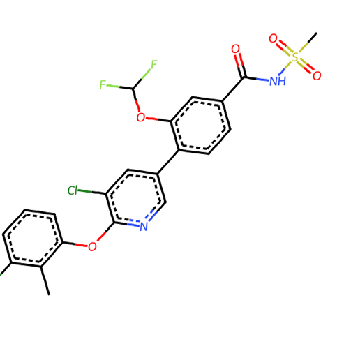 Cc1c(Cl)cccc1Oc1ncc(-c2ccc(C(=O)NS(C)(=O)=O)cc2OC(F)F)cc1Cl